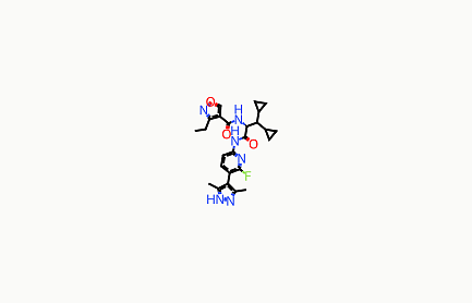 CCc1nocc1C(=O)N[C@H](C(=O)Nc1ccc(-c2c(C)n[nH]c2C)c(F)n1)C(C1CC1)C1CC1